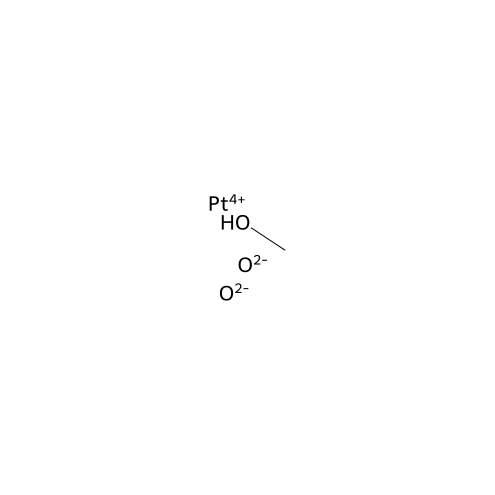 CO.[O-2].[O-2].[Pt+4]